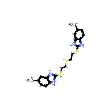 O=S(=O)(O)c1ccc2[nH]c(SCCSCCSc3nc4cc(S(=O)(=O)O)ccc4[nH]3)nc2c1